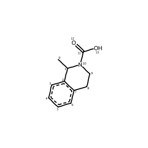 CC1c2ccccc2CCN1C(=O)O